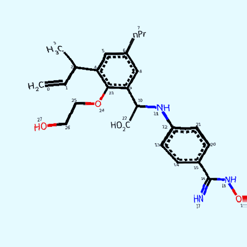 C=CC(C)c1cc(CCC)cc(C(Nc2ccc(C(=N)NO)cc2)C(=O)O)c1OCCO